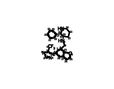 FC(F)(F)c1nnnn1-c1cc(CN[C@H]2CCCN[C@H]2c2ccccc2)c2occc2c1